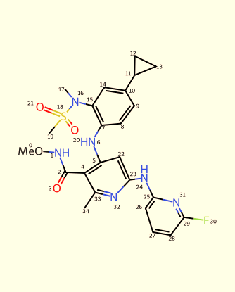 CONC(=O)c1c(Nc2ccc(C3CC3)cc2N(C)S(C)(=O)=O)cc(Nc2cccc(F)n2)nc1C